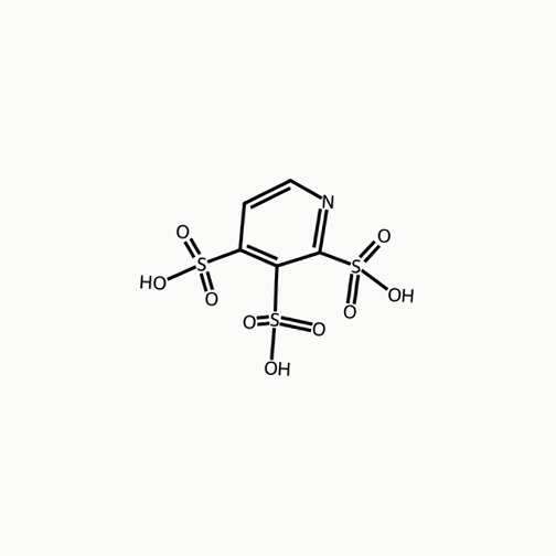 O=S(=O)(O)c1ccnc(S(=O)(=O)O)c1S(=O)(=O)O